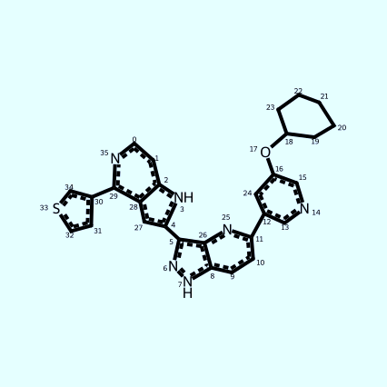 c1cc2[nH]c(-c3n[nH]c4ccc(-c5cncc(OC6CCCCC6)c5)nc34)cc2c(-c2ccsc2)n1